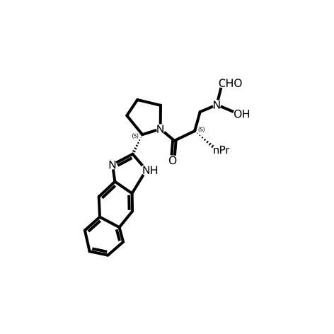 CCC[C@@H](CN(O)C=O)C(=O)N1CCC[C@H]1c1nc2cc3ccccc3cc2[nH]1